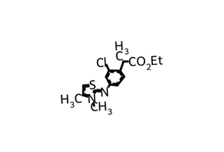 CCOC(=O)C(C)c1ccc(/N=c2\scc(C)n2C)cc1Cl